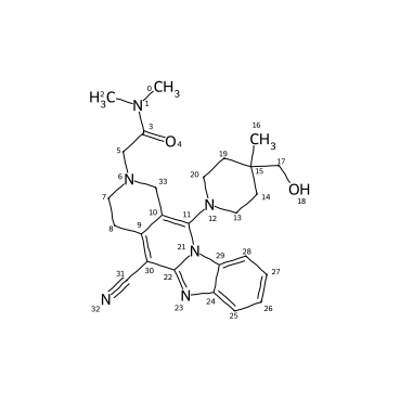 CN(C)C(=O)CN1CCc2c(c(N3CCC(C)(CO)CC3)n3c(nc4ccccc43)c2C#N)C1